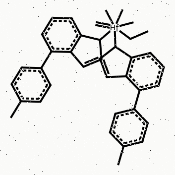 [CH2]=[Hf]([CH3])([CH3])([CH3])([CH2]C)([CH]1C=Cc2c(-c3ccc(C)cc3)cccc21)[CH]1C=Cc2c(-c3ccc(C)cc3)cccc21